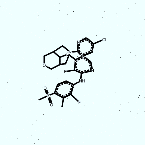 Cc1c(S(C)(=O)=O)ccc(Nc2ncnc(OC3C4COCC3CN(c3ncc(Cl)cn3)C4)c2F)c1F